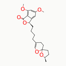 COc1cc(OC)c2c(c1)[C@@H](CCCCC1=COC3(CC1)CC[C@@H](C)O3)OC2=O